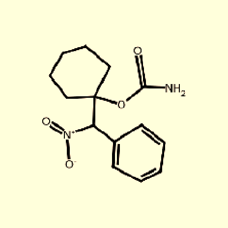 NC(=O)OC1(C(c2ccccc2)[N+](=O)[O-])CCCCC1